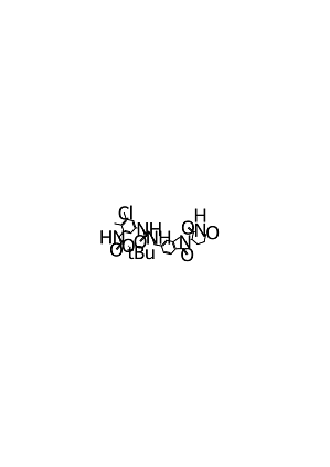 Cc1c(Cl)cc(NC(=O)NCc2ccc3c(c2)CN(C2CCC(=O)NC2=O)C3=O)cc1NC(=O)OC(C)(C)C